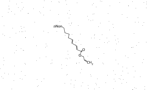 C=CCOC(=O)/C=C/C=C/CCCCCCCCCCCCC